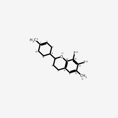 CC1=CCC(C2CCc3cc(C)c(F)c(F)c3O2)CC1